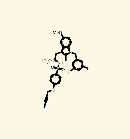 CC#CCOc1ccc(S(=O)(=O)N[C@@H](Cc2c(C)n(Cc3cc(F)cc(F)c3)c3ccc(OC)cc23)C(=O)O)cc1